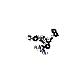 CCOC(=O)c1c(CCCOc2cccc3ccccc23)c2cccc(/C(CC)=C(\CO)N(C)N)c2n1CCCNc1ccc(N2CCOCC2)cc1